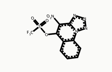 O=[N+]([O-])c1c(OS(=O)(=O)C(F)(F)F)c2ccccc2n2nnnc12